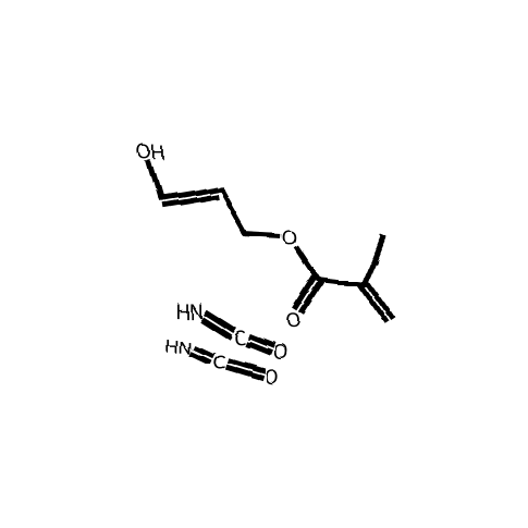 C=C(C)C(=O)OCC=CO.N=C=O.N=C=O